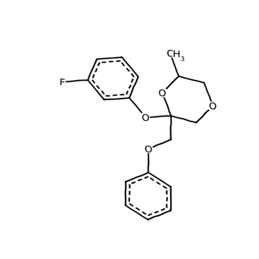 CC1COCC(COc2ccccc2)(Oc2cccc(F)c2)O1